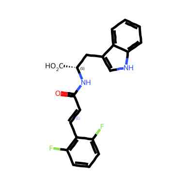 O=C(/C=C/c1c(F)cccc1F)N[C@@H](Cc1c[nH]c2ccccc12)C(=O)O